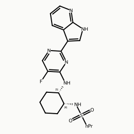 CCCS(=O)(=O)N[C@@H]1CCCC[C@@H]1Nc1nc(-c2c[nH]c3ncccc23)ncc1F